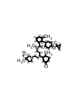 Cc1ccc(Cl)cc1[C@@H](CCN1CCC(C)(C)C1)CCN(C)[C@H](C(=O)O)c1cccc(C)c1C1CCC(OC2(C)CC2)CC1